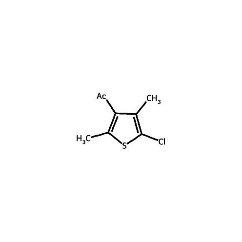 CC(=O)c1c(C)sc(Cl)c1C